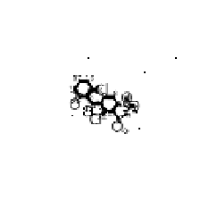 COC1CS(=O)(=O)c2ccc(C(=O)C3=C(Cl)CCCC3=O)c(Cl)c21